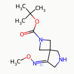 CO/N=C1/CNCC12CN(C(=O)OC(C)(C)C)C2